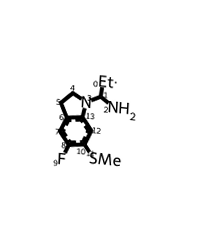 C[CH]C(N)N1CCc2cc(F)c(SC)cc21